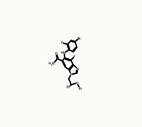 CCOC(CC)Cn1cnc2c(F)c(Nc3ccc(Br)cc3F)c(C(N)=O)cc21